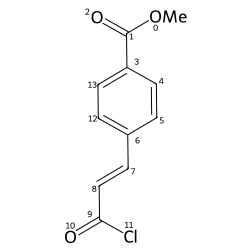 COC(=O)c1ccc(C=CC(=O)Cl)cc1